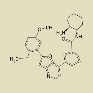 CCc1ccc(OC)cc1-c1cc2nccc(-c3cccc(C(=O)N[C@@H]4CCCC[C@@H]4N)c3)c2o1